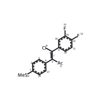 CSc1ccc(/C(C(C)=O)=C(\Cl)c2ccc(F)c(F)c2)cc1